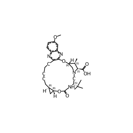 COc1ccc2nc3c(nc2c1)O[C@H]1CN(C[C@H](C(C)(C)C)NC(=O)O[C@@H]2C[C@H]2CCCCC3)[C@H](C(=O)O)[C@@H]1C